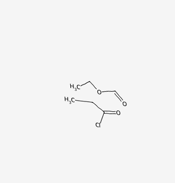 CCC(=O)Cl.CCOC=O